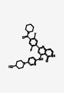 O=C(c1cc(F)c(-c2cc(Nc3ccc(N4CCC(O)CC4)cn3)c3c(=O)[nH]ccc3n2)cc1F)N1CCCCC1